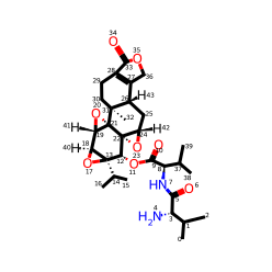 CC(C)[C@H](N)C(=O)N[C@@H](C(=O)O[C@@H]1[C@@]2(C(C)C)O[C@H]2[C@@H]2O[C@]23[C@]12O[C@H]2C[C@H]1C2=C(CC[C@@]13C)C(=O)OC2)C(C)C